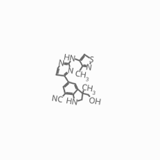 Cc1nscc1Nc1nccc(-c2cc(C#N)c3c(c2)C(C)(CO)CN3)n1